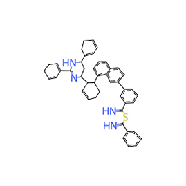 N=C(SC(=N)c1cccc(-c2ccc3cccc(C4=C(C5CC(C6=CC=CCC6)NC(C6=CCCC=C6)=N5)C=CCC4)c3c2)c1)c1ccccc1